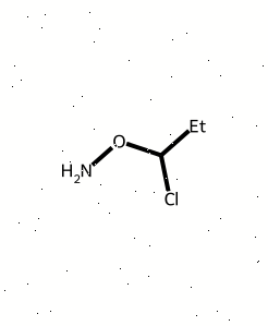 CCC(Cl)ON